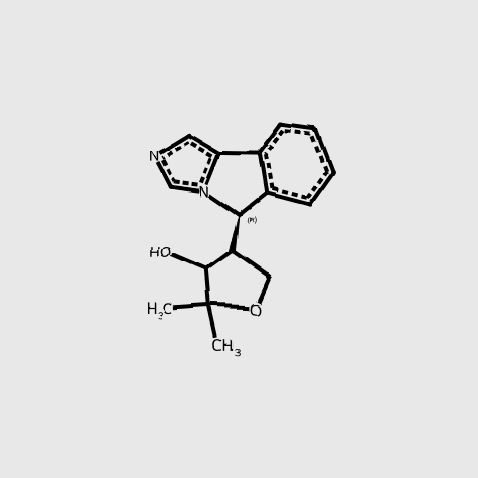 CC1(C)OCC([C@@H]2c3ccccc3-c3cncn32)C1O